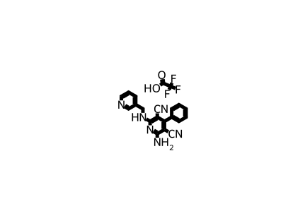 N#Cc1c(N)nc(NCc2cccnc2)c(C#N)c1-c1ccccc1.O=C(O)C(F)(F)F